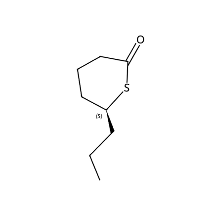 CCC[C@H]1CCCC(=O)S1